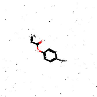 C=CC(=O)Oc1ccc(CCCCCC)cc1